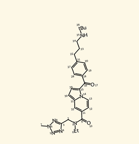 CCN(Cc1nnn(C)n1)C(=O)c1ccn2c(C(=O)c3ccc(CCCNC(C)(C)C)cc3)ccc2c1